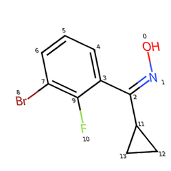 O/N=C(\c1cccc(Br)c1F)C1CC1